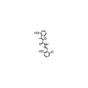 Cc1c(C(=O)NN=Cc2c(O)cccc2Cl)oc2cccc(O)c12